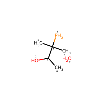 CC(O)C(C)(C)P.O